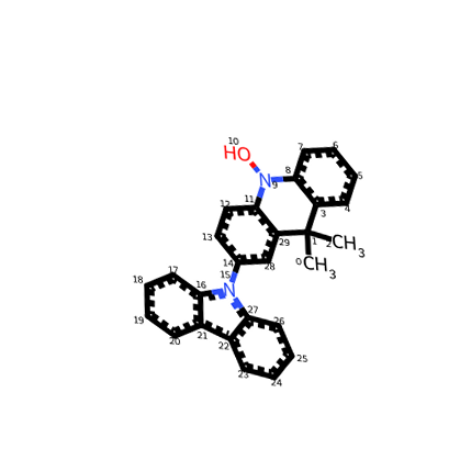 CC1(C)c2ccccc2N(O)c2ccc(-n3c4ccccc4c4ccccc43)cc21